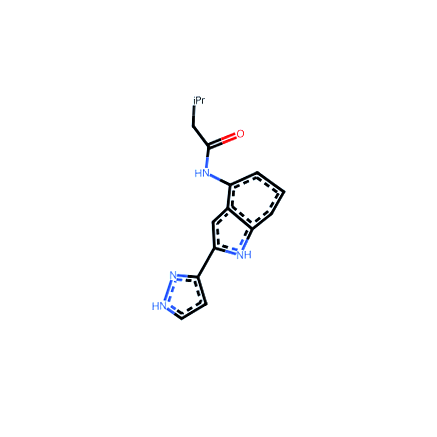 CC(C)CC(=O)Nc1cccc2[nH]c(-c3cc[nH]n3)cc12